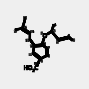 C/C=C/C(C)Oc1ccc(C(=O)O)cc1CC=C(C)C